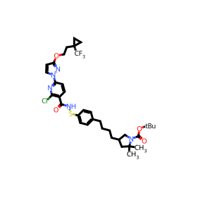 CC(C)(C)OC(=O)N1CC(CCCCc2ccc(SNC(=O)c3ccc(-n4ccc(OCCC5(C(F)(F)F)CC5)n4)nc3Cl)cc2)CC1(C)C